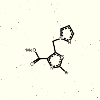 COC(=O)c1nc(Br)sc1Cn1cccn1